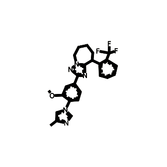 COc1cc(-c2nc3n(n2)CCCCC3c2ccccc2C(F)(F)F)ccc1-n1cnc(C)c1